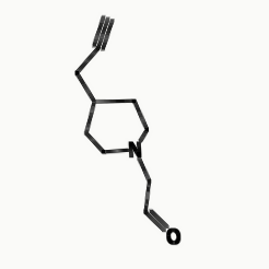 C#CCC1CCN(CC=O)CC1